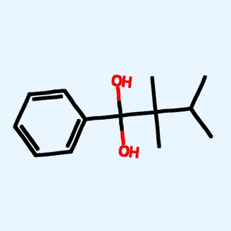 CC(C)C(C)(C)C(O)(O)c1ccccc1